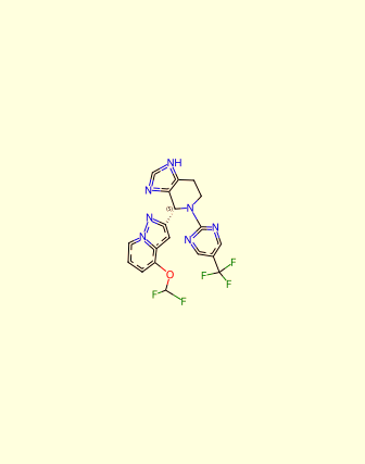 FC(F)Oc1cccn2nc([C@@H]3c4nc[nH]c4CCN3c3ncc(C(F)(F)F)cn3)cc12